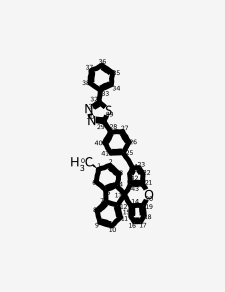 C[C@@H]1C=CC2=C(C1)c1ccccc1C21c2ccccc2Oc2ccc(-c3ccc(-c4nnc(-c5ccccc5)s4)cc3)cc21